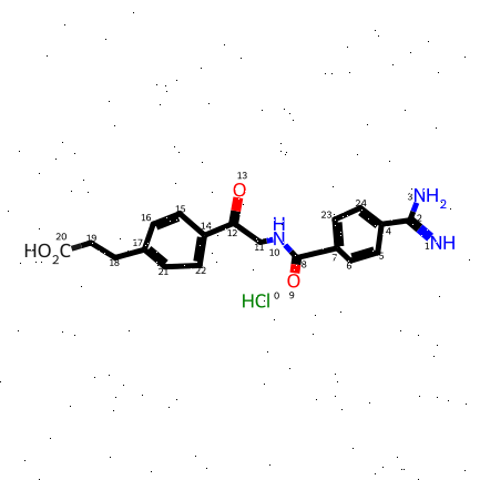 Cl.N=C(N)c1ccc(C(=O)NCC(=O)c2ccc(CCC(=O)O)cc2)cc1